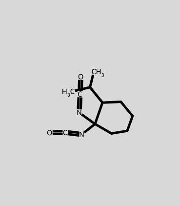 CC(C)C1CCCCC1(N=C=O)N=C=O